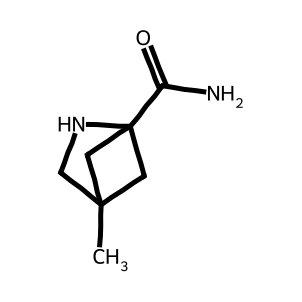 CC12CNC(C(N)=O)(C1)C2